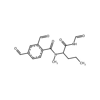 CCCC(C(=O)NC=O)N(C)C(=O)c1ccc(C=O)cc1C=O